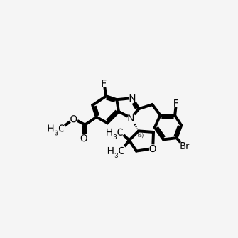 COC(=O)c1cc(F)c2nc(Cc3ccc(Br)cc3F)n([C@@H]3COCC3(C)C)c2c1